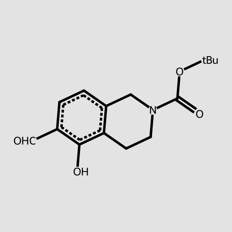 CC(C)(C)OC(=O)N1CCc2c(ccc(C=O)c2O)C1